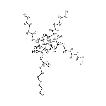 CCCCCCCCC(=O)OC[C@@H](O)[C@](O)(C(=O)CCCCCCCC)[C@H](O)[C@](O)(C(=O)CCCCCCCC)C(O)C(=O)CCCCCCCC